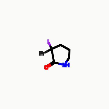 CC(C)C1(I)CCCNC1=O